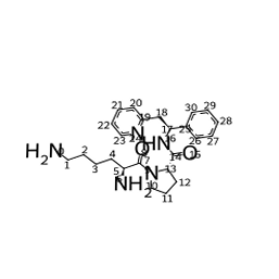 NCCCC[C@H](N)C(=O)N1CCC[C@H]1C(=O)N[C@@H](Cc1ccccn1)c1ccccc1